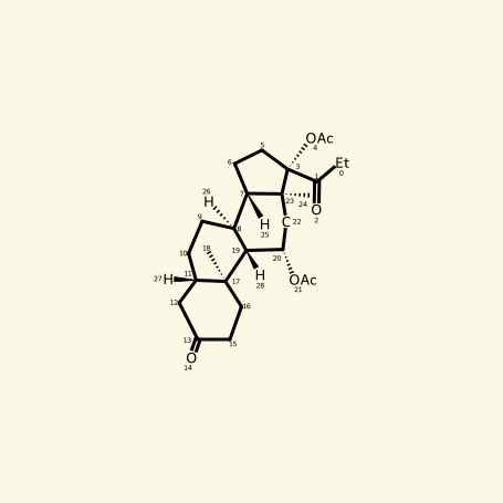 CCC(=O)[C@]1(OC(C)=O)CC[C@H]2[C@@H]3CC[C@H]4CC(=O)CC[C@]4(C)[C@H]3[C@@H](OC(C)=O)C[C@@]21C